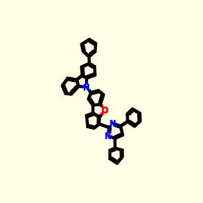 c1ccc(-c2ccc3c(c2)c2ccccc2n3-c2ccc3oc4c(-c5nc(-c6ccccc6)cc(-c6ccccc6)n5)cccc4c3c2)cc1